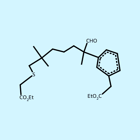 CCOC(=O)CSCC(C)(C)CCCC(C)(C=O)c1cccc(CC(=O)OCC)c1